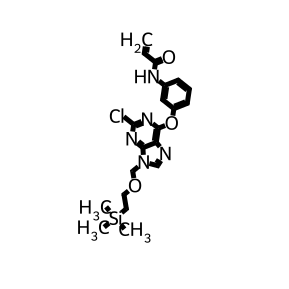 C=CC(=O)Nc1cccc(Oc2nc(Cl)nc3c2ncn3COCC[Si](C)(C)C)c1